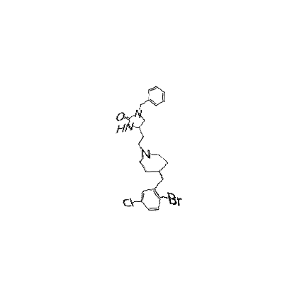 O=C1NC(CCN2CCC(Cc3cc(Cl)ccc3Br)CC2)CN1Cc1ccccc1